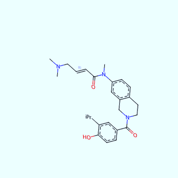 CC(C)c1cc(C(=O)N2CCc3ccc(N(C)C(=O)/C=C/CN(C)C)cc3C2)ccc1O